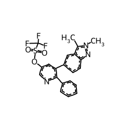 Cc1c2cc(-c3cc(OS(=O)(=O)C(F)(F)F)cnc3-c3ccccc3)ccc2nn1C